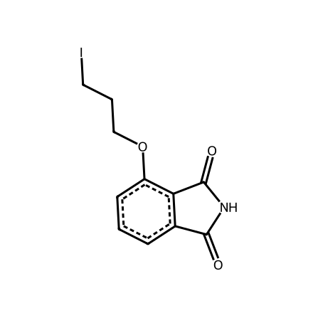 O=C1NC(=O)c2c(OCCCI)cccc21